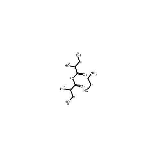 NCCO.O=C(OC(=O)C(O)CO)C(O)CO